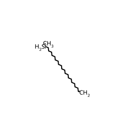 C=CCCCCCCCCCCCCCCCCCCC[SiH2]C